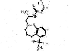 C[C@@H](CN1CCCc2c(cccc2C(C)(F)F)C1)NC(=O)/C=N\O